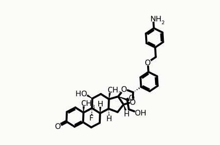 C[C@]12C=CC(=O)C=C1CC[C@H]1[C@@H]3C[C@H]4O[C@@H](c5cccc(OCc6ccc(N)cc6)c5)O[C@@]4(C(=O)CO)[C@@]3(C)C[C@H](O)[C@@]12F